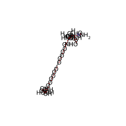 CN[C@@H](CCCCNC(=O)CCOCCOCCOCCOCCOCCCCCOCCOCCOCCOCCOCCOCCNC1O[C@H](C(=O)O)[C@@H](O)[C@H](O)[C@H]1O)C(=O)N[C@H](C(=O)N[C@@H](CC/C=N/C(N)=O)C(=O)Nc1ccc(CO)cc1)C(C)C